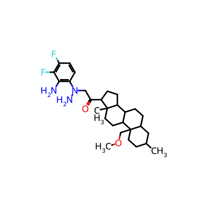 COCC12CCC(C)CC1CCC1C3CCC(C(=O)CN(N)c4ccc(F)c(F)c4N)C3(C)CCC12